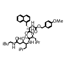 CCC(C)CNC(=O)CC(O)C(CC(C)C)NC(=O)[C@H](CC(C)C)NC(=O)[C@H](Cc1cccc2ccccc12)NC(=O)OCc1ccc(OC)cc1